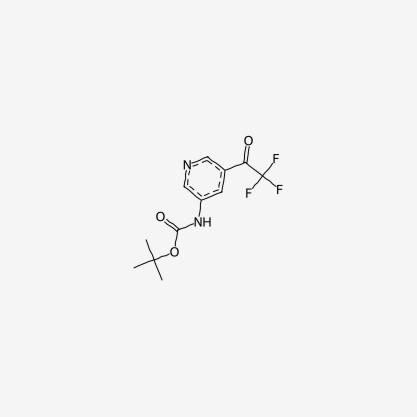 CC(C)(C)OC(=O)Nc1cncc(C(=O)C(F)(F)F)c1